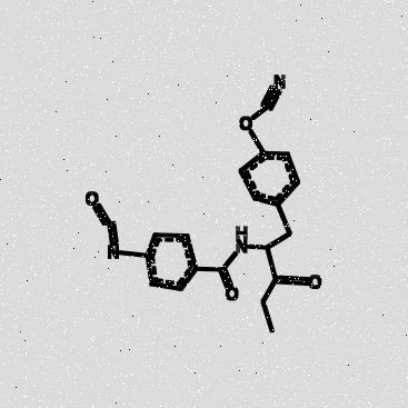 CCC(=O)C(Cc1ccc(OC#N)cc1)NC(=O)c1ccc(N=C=O)cc1